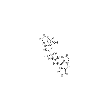 CC1(O)c2cc(S(=O)(=O)NC(=O)Nc3c4c(cc5c3CCC5)CCC4)sc2C2CCC1C2